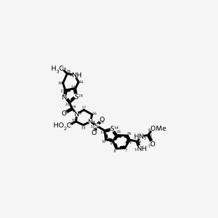 COC(=O)NC(=N)c1ccc2cc(S(=O)(=O)N3CCN(C(=O)c4nc5c(s4)CNC(C)C5)C(C(=O)O)C3)sc2c1